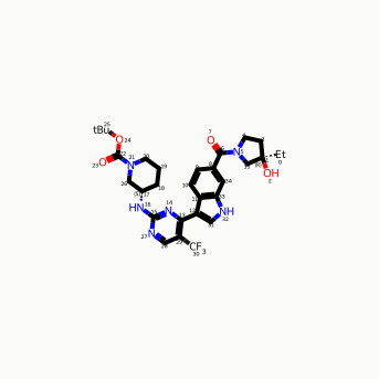 CC[C@@]1(O)CCN(C(=O)c2ccc3c(-c4nc(N[C@H]5CCCN(C(=O)OC(C)(C)C)C5)ncc4C(F)(F)F)c[nH]c3c2)C1